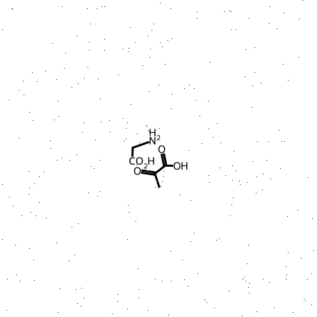 CC(=O)C(=O)O.NCC(=O)O